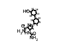 NC(=O)Nc1cn(-c2cccc(-c3cccc(O)c3)c2)nc1C(N)=O